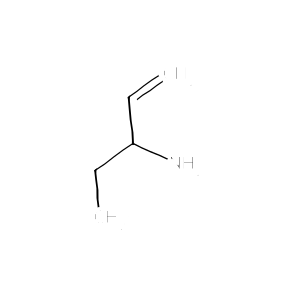 [CH2]CC(N)C=C